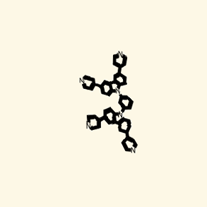 C1=CC(c2ccncc2)Cc2c1n(-c1cccc(-n3c4ccc(-c5ccncc5)cc4c4cc(-c5ccncc5)ccc43)c1)c1ccc(-c3ccncc3)cc21